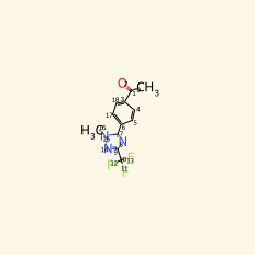 CC(=O)c1ccc(-c2nc(C(F)(F)F)nn2C)cc1